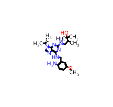 COc1ccc(N)c(CNc2nc(NCC(C)C(C)(C)O)nc3c2ncn3C(C)C)c1